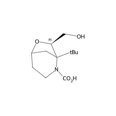 CC(C)(C)C12CC(CCN1C(=O)O)O[C@H]2CO